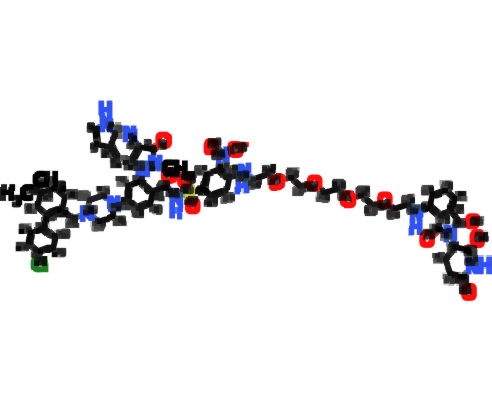 Cn1c(=O)c2nc3[nH]ccc3cc2n1-c1cc(N2CCN(CC3=C(c4ccc(Cl)cc4)CC(C)(C)CC3)CC2)ccc1C(=O)NS(=O)(=O)c1ccc(NCCOCCOCCOCCOCCNc2cccc3c2C(=O)N(C2CCC(=O)NC2=O)C3=O)c([N+](=O)[O-])c1